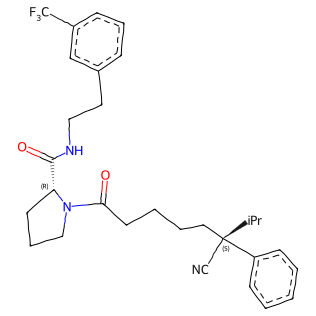 CC(C)[C@@](C#N)(CCCCC(=O)N1CCC[C@@H]1C(=O)NCCc1cccc(C(F)(F)F)c1)c1ccccc1